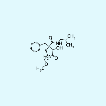 COCCSC(Cc1ccccc1)(C(=O)NCC(C)C)C(O)C(N)=O